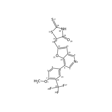 COc1ccc(-c2cncc3cc(C=C4SC(=S)NC4=O)oc23)cc1C(F)(F)F